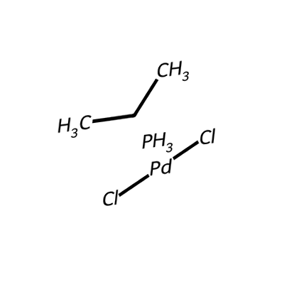 CCC.P.[Cl][Pd][Cl]